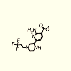 COC(=O)c1ccc(C2CN(CCC(F)(F)F)CCN2)nc1N